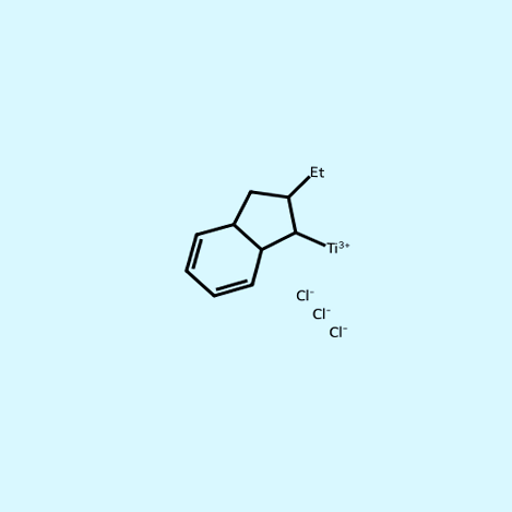 CCC1CC2C=CC=CC2[CH]1[Ti+3].[Cl-].[Cl-].[Cl-]